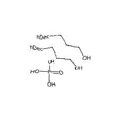 CCCCCCCCCCCCCO.CCCCCCCCCCCCCO.O=P(O)(O)O